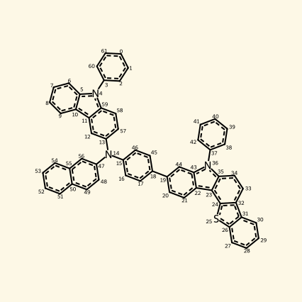 c1ccc(-n2c3ccccc3c3cc(N(c4ccc(-c5ccc6c7c8sc9ccccc9c8ccc7n(-c7ccccc7)c6c5)cc4)c4ccc5ccccc5c4)ccc32)cc1